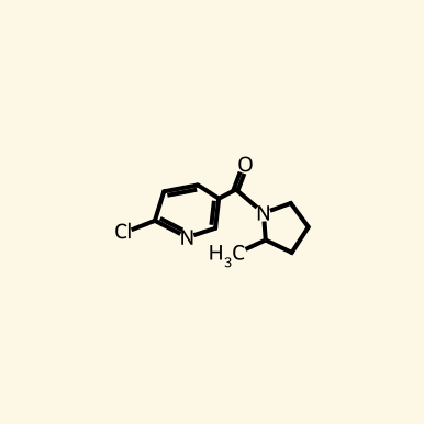 CC1CCCN1C(=O)c1ccc(Cl)nc1